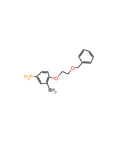 Bc1cc(P)ccc1OCCOCc1ccccc1